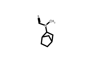 CN([C]=S)C1CC2CCC1C2